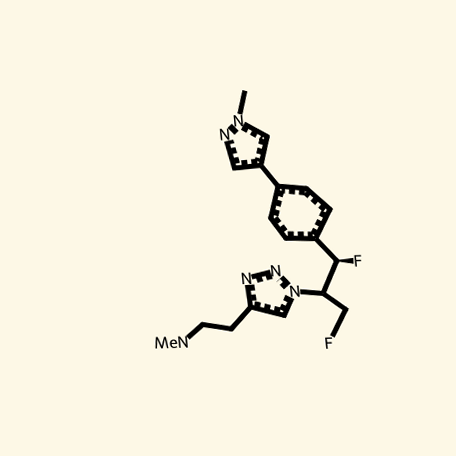 CNCCc1cn(C(CF)[C@H](F)c2ccc(-c3cnn(C)c3)cc2)nn1